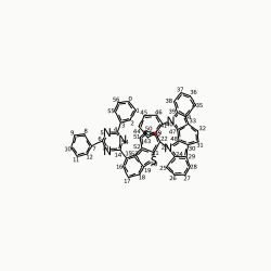 c1ccc(-c2nc(-c3ccccc3)nc(-c3cccc4sc5c(-n6c7ccccc7c7ccc8c9ccccc9n(-c9ccccc9)c8c76)cccc5c34)n2)cc1